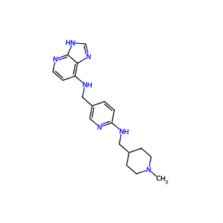 CN1CCC(CNc2ccc(CNc3ccnc4[nH]cnc34)cn2)CC1